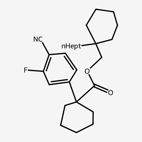 CCCCCCCC1(COC(=O)C2(c3ccc(C#N)c(F)c3)CCCCC2)CCCCC1